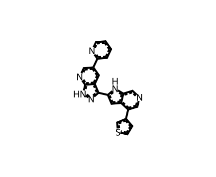 c1ccc(-c2cnc3[nH]nc(-c4cc5c(-c6ccsc6)cncc5[nH]4)c3c2)nc1